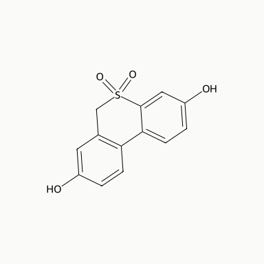 O=S1(=O)Cc2cc(O)ccc2-c2ccc(O)cc21